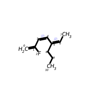 C=C(F)/C=C\C(=C/C)CCC